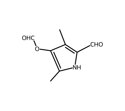 Cc1[nH]c(C=O)c(C)c1OC=O